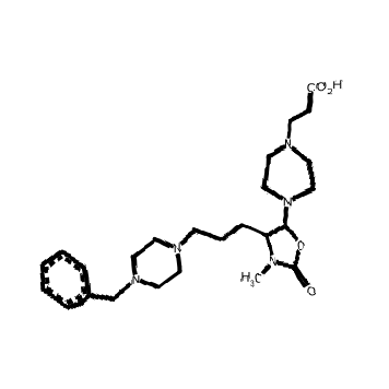 CN1C(=O)OC(N2CCN(CCC(=O)O)CC2)C1CCCN1CCN(Cc2ccccc2)CC1